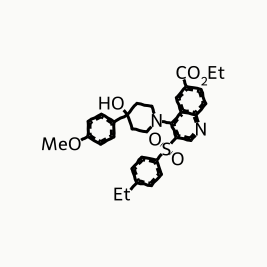 CCOC(=O)c1ccc2ncc(S(=O)(=O)c3ccc(CC)cc3)c(N3CCC(O)(c4ccc(OC)cc4)CC3)c2c1